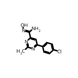 Cc1nc(C(N)=NO)cc(-c2ccc(Cl)cc2)n1